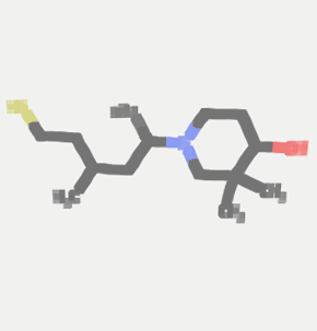 CCCCC(CC(C)CCS)N1CCC(O)C(C)(C)C1